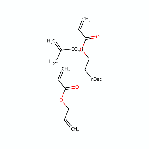 C=C(C)C(=O)O.C=CC(=O)OCCCCCCCCCCCC.C=CCOC(=O)C=C